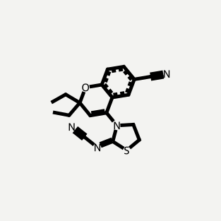 CCC1(CC)C=C(N2CCS/C2=N/C#N)c2cc(C#N)ccc2O1